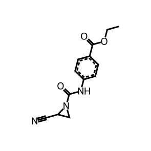 CCOC(=O)c1ccc(NC(=O)N2CC2C#N)cc1